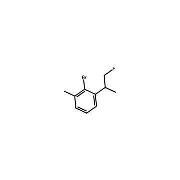 C[C](CF)c1cccc(C)c1Br